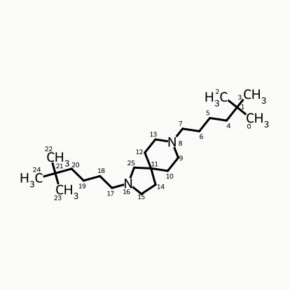 CC(C)(C)CCCCN1CCC2(CC1)CCN(CCCCC(C)(C)C)C2